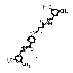 Cc1cc(C)cc(C=NNC(=O)CCCNc2ccc(C(=O)NN=Cc3cc(C)cc(C)c3)cc2)c1